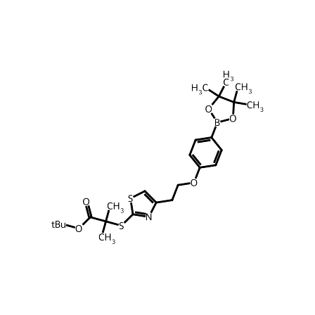 CC(C)(C)OC(=O)C(C)(C)Sc1nc(CCOc2ccc(B3OC(C)(C)C(C)(C)O3)cc2)cs1